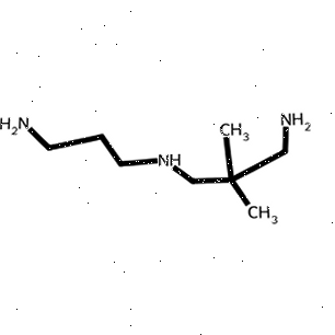 CC(C)(CN)CNCCCN